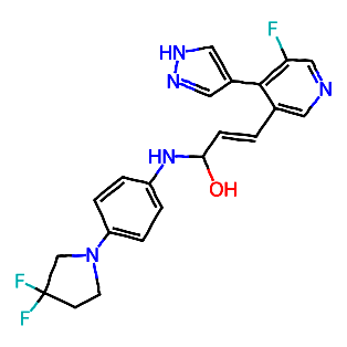 OC(/C=C/c1cncc(F)c1-c1cn[nH]c1)Nc1ccc(N2CCC(F)(F)C2)cc1